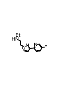 CCNCCn1ccc(-c2ccc(F)cn2)n1